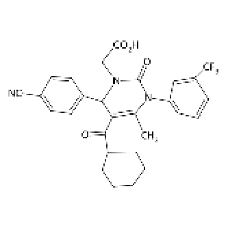 CC1=C(C(=O)C2CCCCC2)C(c2ccc(C#N)cc2)N(CC(=O)O)C(=O)N1c1cccc(C(F)(F)F)c1